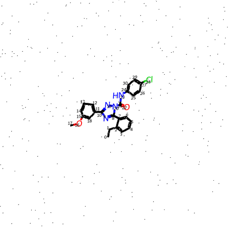 CCc1ccccc1-c1nc(-c2cccc(OC)c2)nn1C(=O)Nc1ccc(Cl)cc1